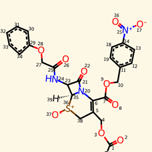 CC(=O)OCC1=C(C(=O)OCc2ccc([N+](=O)[O-])cc2)N2C(=O)C(NC(=O)COc3ccccc3)[C@@H]2[S+]([O-])C1